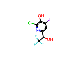 Oc1c(I)cc(C(O)C(F)(F)F)nc1Cl